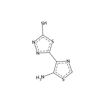 Nc1scnc1-c1nnc(S)s1